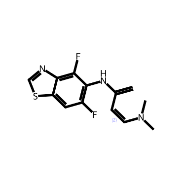 C=C(/C=C\N(C)C)Nc1c(F)cc2scnc2c1F